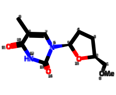 COC[C@@H]1CC[C@H](n2cc(C)c(=O)[nH]c2=O)O1